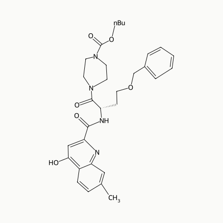 CCCCOC(=O)N1CCN(C(=O)[C@H](CCOCc2ccccc2)NC(=O)c2cc(O)c3ccc(C)cc3n2)CC1